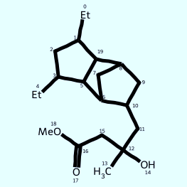 CCC1CC(CC)C2C3CC(CC3CC(C)(O)CC(=O)OC)C12